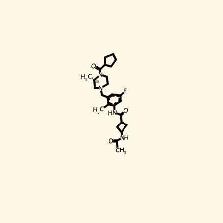 CC(=O)NC1CC(C(=O)Nc2cc(F)cc(CN3CCN(C(=O)C4CCCC4)[C@@H](C)C3)c2C)C1